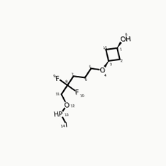 O[C@H]1C[C@@H](OCCCC(F)(F)COPI)C1